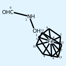 O=CNO.[CH]12[CH]3[CH]4[CH]5[CH]1[Fe]23451678[CH]2[CH]1[CH]6[CH]7[CH]28